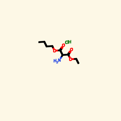 CCCCOC(=O)C(N)C(=O)OCC.Cl